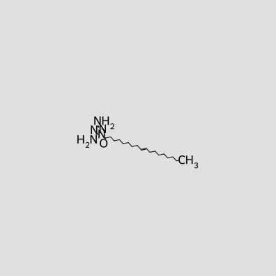 CCCCCCCCC=CCCCCCCCC(=O)n1nc(N)nc1N